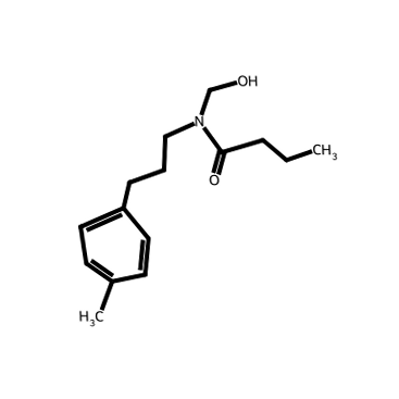 CCCC(=O)N(CO)CCCc1ccc(C)cc1